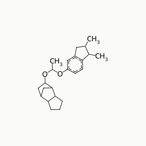 CC(Oc1ccc2c(c1)CC(C)C2C)OC1CC2CC1C1CCCC21